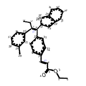 CCOC(=O)/C=C/c1ccc(/C(=C(/CC)c2cccc(C)c2)c2cc3ccccc3[nH]2)cc1